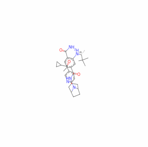 Cc1cc(C(N)=O)c(N[C@H](C)C(C)(C)C)cc1C(=O)NC1CC2CCC(C1)N2c1ccc(C(=O)C2CC2)cn1